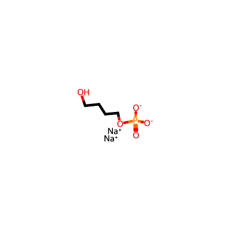 O=P([O-])([O-])OCCCCO.[Na+].[Na+]